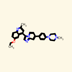 CCOc1ccc2nc(C)cc(-c3cnc4cc(-c5ccc(N6CCN(C)CC6)cc5)ccn34)c2c1